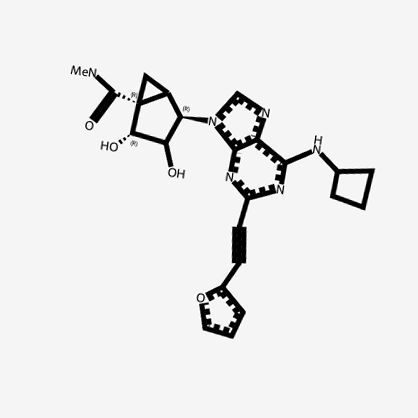 CNC(=O)[C@]12CC1[C@@H](n1cnc3c(NC4CCC4)nc(C#Cc4ccco4)nc31)C(O)[C@@H]2O